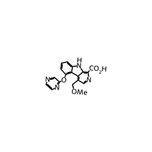 COCc1cnc(C(=O)O)c2[nH]c3cccc(Oc4cnccn4)c3c12